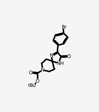 CC(C)(C)OC(=O)N1CCC2(CC1)N=C(c1ccc(Br)cc1)C(=O)N2